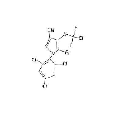 N#Cc1cn(-c2c(Cl)cc(Cl)cc2Cl)c(Br)c1SC(F)(F)Cl